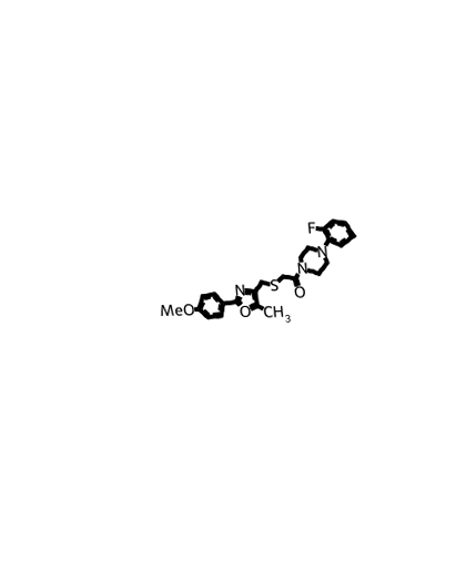 COc1ccc(-c2nc(CSCC(=O)N3CCN(c4ccccc4F)CC3)c(C)o2)cc1